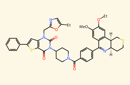 CCOc1cc2c(cc1OC)C(c1ccc(C(=O)N3CCC(n4c(=O)c5sc(-c6ccccc6)cc5n(Cc5ncc(CC)o5)c4=O)CC3)cc1)=N[C@@H]1CCSC[C@H]21